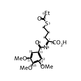 CCC(=O)SCCCC(=NC(=O)c1cc(OC)c(OC)c(OC)c1)C(=O)O